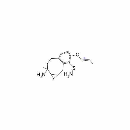 C/C=C/Oc1ccc2c(c1SN)CC1CC1C(C)(N)CC2